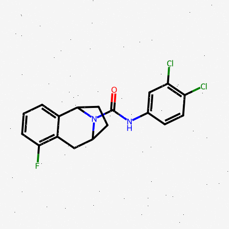 O=C(Nc1ccc(Cl)c(Cl)c1)N1C2CCC1c1cccc(F)c1C2